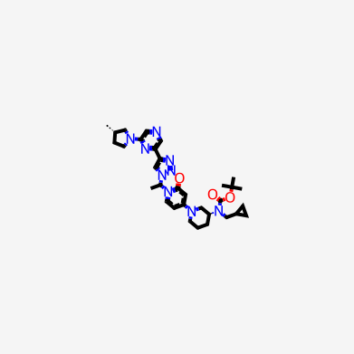 CC(n1cc(-c2cncc(N3CC[C@H](C)C3)n2)nn1)n1ccc(N2CCC[C@@H](N(CC3CC3)C(=O)OC(C)(C)C)C2)cc1=O